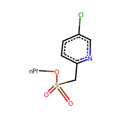 CCCOS(=O)(=O)Cc1ccc(Cl)cn1